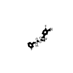 N#Cc1cc(-c2nnc(OC(=O)NCc3cccc(F)c3)o2)ccc1F